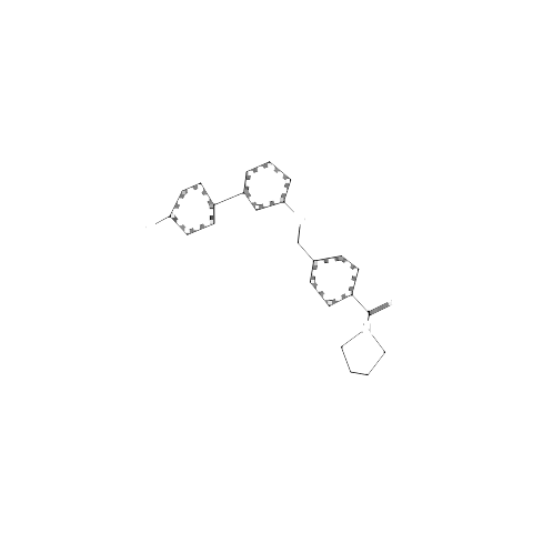 O=C(c1ccc(COc2c[c]cc(-c3ccc(C(F)(F)F)cc3)c2)cc1)N1CCCC1